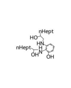 CCCCCCCC(O)CNc1cccc(O)c1NCC(O)CCCCCCC